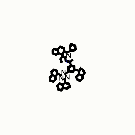 C=Cc1c(/C=C(\C)c2cc(-c3nc(-c4cccc5ccccc45)nc(-c4cccc5ccccc45)n3)cc(-c3cccc4ccccc34)c2)nc(-c2ccccc2)c2ccc3ccccc3c12